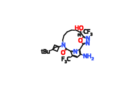 CC(C)(C)C12CC(N3CCCCC[C@](O)(C(F)(F)F)c4nnc(o4)-c4nc(c(C(F)(F)F)cc4N)C3=O)(C1)C2